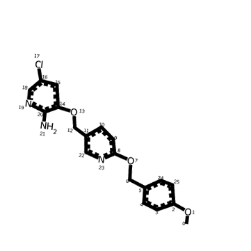 COc1ccc(COc2ccc(COc3cc(Cl)cnc3N)cn2)cc1